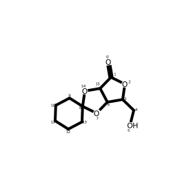 O=C1OC(CO)C2OC3(CCCCC3)OC12